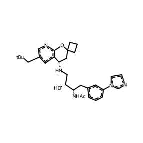 CC(=O)N[C@@H](Cc1cccc(-n2ccnc2)c1)[C@H](O)CN[C@H]1CC2(CCC2)Oc2ncc(CC(C)(C)C)cc21